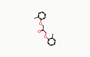 Cc1ccccc1OCC(=O)COc1ccccc1C